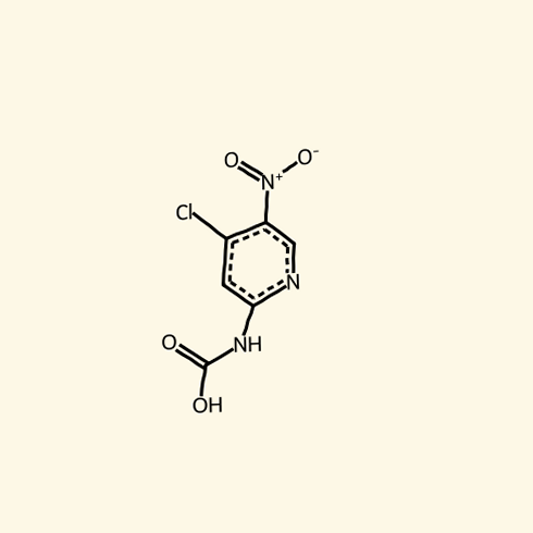 O=C(O)Nc1cc(Cl)c([N+](=O)[O-])cn1